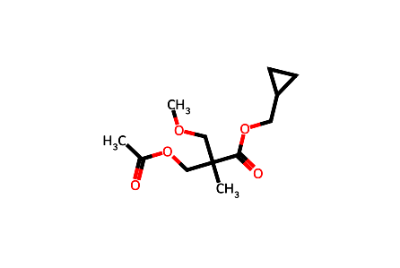 COCC(C)(COC(C)=O)C(=O)OCC1CC1